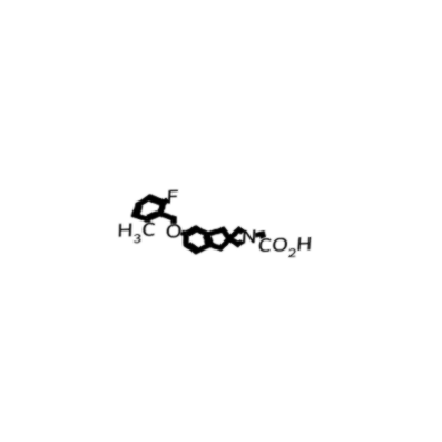 Cc1cccc(F)c1COc1ccc2c(c1)CC1(C2)CN(CC(=O)O)C1